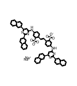 O=S(=O)([O-])c1cc(Nc2cc(-c3ccc4ccccc4c3)nc(-c3ccc4ccccc4c3)n2)ccc1C=Cc1ccc(Nc2cc(-c3ccc4ccccc4c3)nc(-c3ccc4ccccc4c3)n2)cc1S(=O)(=O)[O-].[Na+].[Na+]